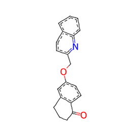 O=C1CCCc2cc(OCc3ccc4ccccc4n3)ccc21